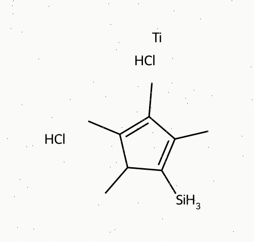 CC1=C(C)C(C)C([SiH3])=C1C.Cl.Cl.[Ti]